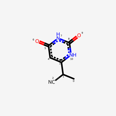 CC(C#N)c1cc(=O)[nH]c(=O)[nH]1